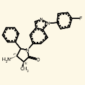 C[C@@H]1C(=O)N(c2ccc3c(cnn3-c3ccc(F)cc3)c2)C(c2ccccc2)[C@H]1N